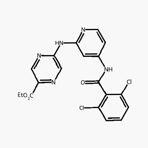 CCOC(=O)c1cnc(Nc2cc(NC(=O)c3c(Cl)cccc3Cl)ccn2)cn1